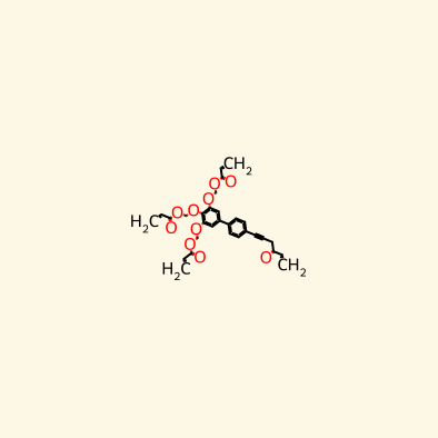 C=CC(=O)CC#Cc1ccc(-c2cc(OCOC(=O)C=C)c(OCOC(=O)C=C)c(OCOC(=O)C=C)c2)cc1